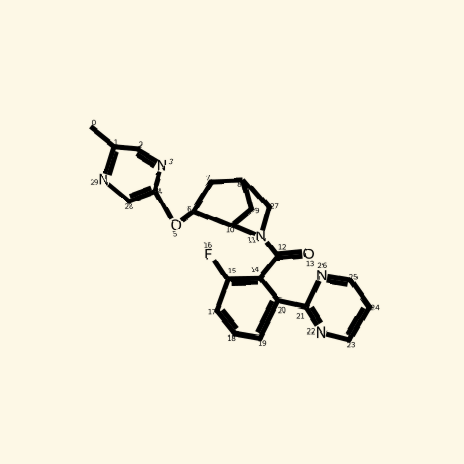 Cc1cnc(OC2CC3CC2N(C(=O)c2c(F)cccc2-c2ncccn2)C3)cn1